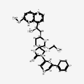 CCOc1ccc2nccc([C@H](O)C[C@@H]3CC[C@@]4(CN(C5=COC=C(C6=CC=CCC6)O5)C(=O)O4)[C@@H](CCO)O3)c2n1